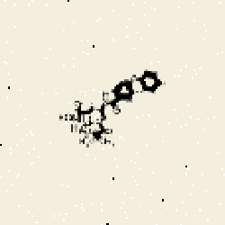 CC[C@@H](C[C@@H](COC(=O)C(C)(C)C)NC(=O)c1ccc(Oc2ccccc2)cc1)C(=O)NO